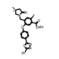 COC(=O)c1cc(Oc2ccc(-c3nnc(C(C)C)s3)cc2)c(CN2C[C@@H](C)CC2=O)cc1F